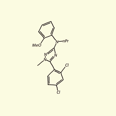 CCCN(c1nc(-c2ccc(Cl)cc2Cl)n(C)n1)c1ccccc1OC